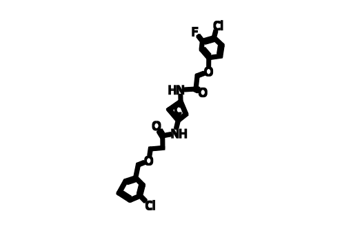 O=C(CCOCc1cccc(Cl)c1)NC12CC(NC(=O)COc3ccc(Cl)c(F)c3)(C1)C2